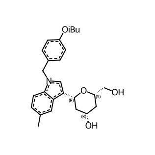 Cc1ccc2c(c1)c([C@H]1C[C@@H](O)C[C@@H](CO)O1)cn2Cc1ccc(OCC(C)C)cc1